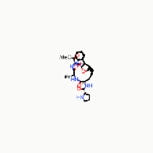 COC(=O)c1nc2oc1[C@@]13c4ccccc4NC1Oc1ccc(cc13)C[C@H](NC(=O)[C@@H]1CCCN1)C(=O)NC2C(C)C